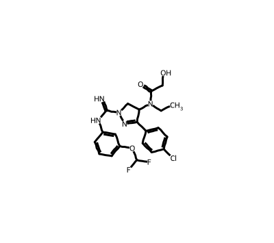 CCN(C(=O)CO)C1CN(C(=N)Nc2cccc(OC(F)F)c2)N=C1c1ccc(Cl)cc1